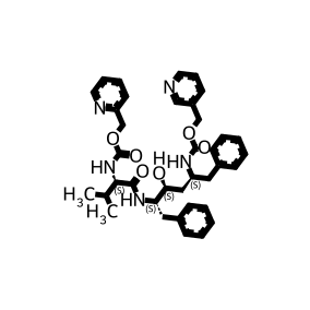 CC(C)[C@H](NC(=O)OCc1ccccn1)C(=O)N[C@@H](Cc1ccccc1)[C@@H](O)C[C@H](Cc1ccccc1)NC(=O)OCc1cccnc1